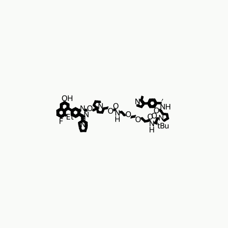 CCc1c(F)ccc2cc(O)cc(-c3ccc4c(C5CC6CCC(C5)N6)nc(OCC56CCCN5C(COC(=O)NCCOCCOCCC(=O)NC(C(=O)N5CCCC5C(=O)N[C@@H](C)c5ccc(C7=C(C)N=CC7)cc5)C(C)(C)C)CC6)nc4c3)c12